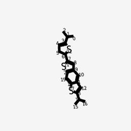 CC(C)C1=CCC(c2cc3cc4cc(C(C)C)sc4cc3s2)S1